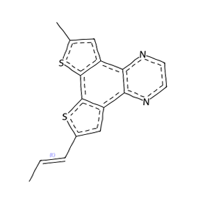 C/C=C/c1cc2c3nccnc3c3cc(C)sc3c2s1